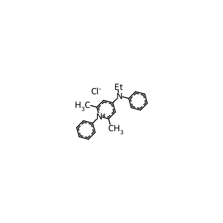 CCN(c1ccccc1)c1cc(C)[n+](-c2ccccc2)c(C)c1.[Cl-]